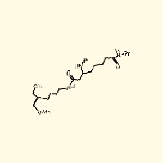 COCC(CO)CCCCNC(=O)CC(CCCCC(=O)NC(C)C)NC(C)C